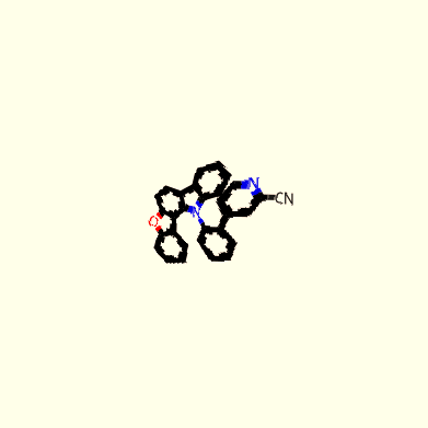 N#Cc1cc(-c2ccccc2-n2c3ccccc3c3ccc4oc5ccccc5c4c32)ccn1